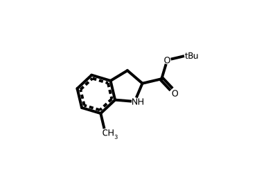 Cc1cccc2c1NC(C(=O)OC(C)(C)C)C2